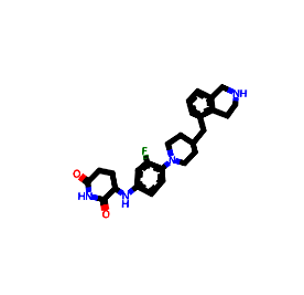 O=C1CCC(Nc2ccc(N3CCC(Cc4cccc5c4CCNC5)CC3)c(F)c2)C(=O)N1